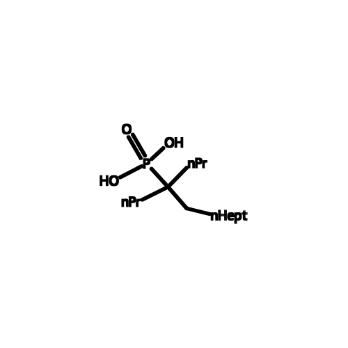 CCCCCCCCC(CCC)(CCC)P(=O)(O)O